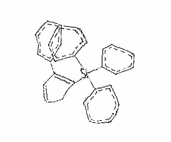 C1=CC(c2ccccc2)=C([Si](c2ccccc2)(c2ccccc2)c2ccccc2)C1